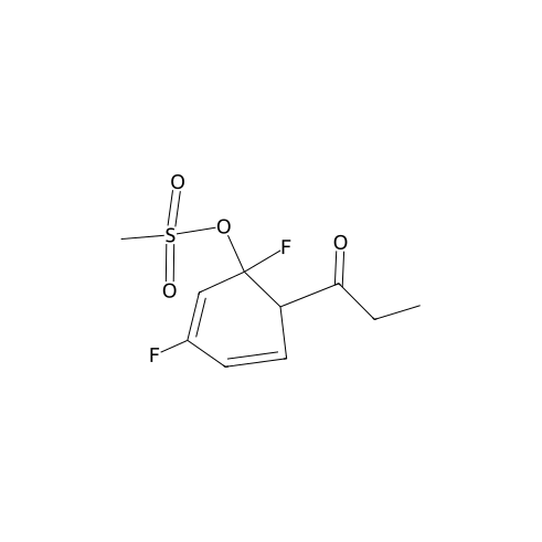 CCC(=O)C1C=CC(F)=CC1(F)OS(C)(=O)=O